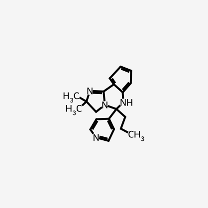 CCCC1(c2ccncc2)Nc2ccccc2C2=NC(C)(C)CN21